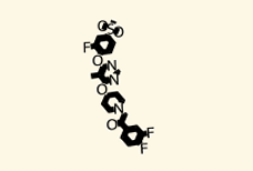 Cc1c(Oc2ccc(S(C)(=O)=O)cc2F)ncnc1OC1CCN(CC(=O)c2ccc(F)c(F)c2)CC1